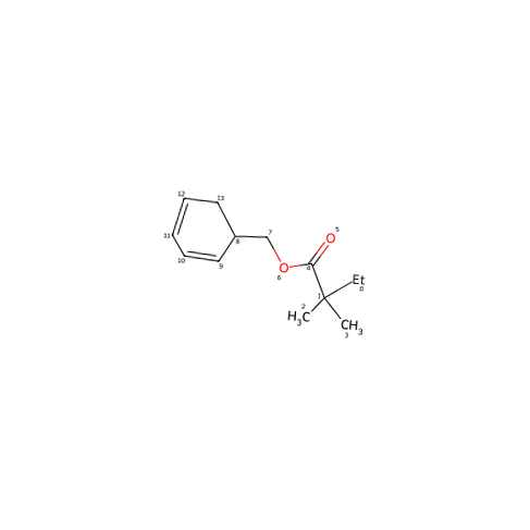 CCC(C)(C)C(=O)OCC1C=CC=CC1